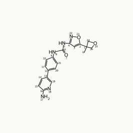 CC1(c2cc(NC(=O)Nc3ccc(-c4ccc(N)nc4)cc3)no2)COC1